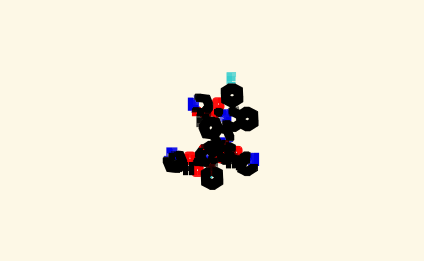 O=C(O[C@@H]1CN2CCC1CC2)N1CCc2ccc(C3CN4CCC3[C@H](OC(=O)N3CCc5cc(C6CN7CCC6[C@H](OC(=O)N6CCc8ccccc8[C@@H]6c6ccc(F)cc6)C7)ccc5[C@@H]3c3cccc(F)c3)C4)cc2[C@@H]1c1ccccc1